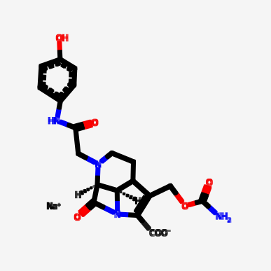 NC(=O)OCC1=C(C(=O)[O-])N2C(=O)[C@@H]3[C@H]2C1CCN3CC(=O)Nc1ccc(O)cc1.[Na+]